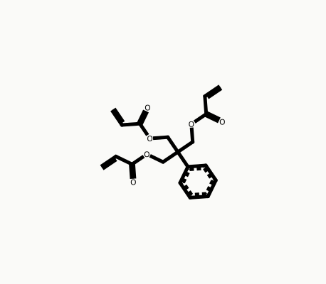 C=CC(=O)OCC(COC(=O)C=C)(COC(=O)C=C)c1ccccc1